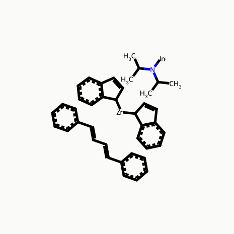 C(C=Cc1ccccc1)=Cc1ccccc1.C1=C[CH]([Zr][CH]2C=Cc3ccccc32)c2ccccc21.CC(C)[N]([In])C(C)C